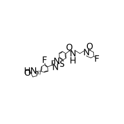 O=C1CC[C@@H](c2ccc(-c3cn4c(n3)sc3cc(C(=O)NCCCN5CCC(F)CC5=O)ccc34)c(F)c2)N1